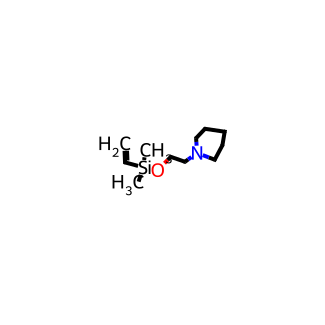 C=C[Si](C)(C)OCCN1CCCCC1